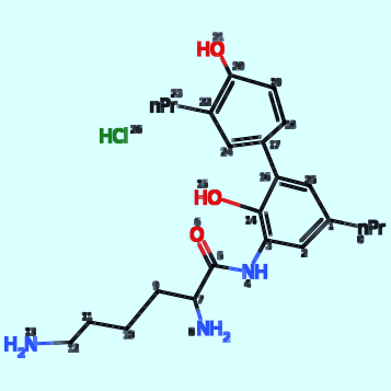 CCCc1cc(NC(=O)C(N)CCCCN)c(O)c(-c2ccc(O)c(CCC)c2)c1.Cl